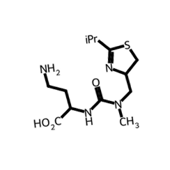 CC(C)C1=NC(CN(C)C(=O)NC(CCN)C(=O)O)CS1